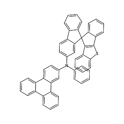 c1ccc(N(c2ccc3c(c2)C2(c4ccccc4-3)c3ccccc3-c3sc4ccccc4c32)c2ccc3c4ccccc4c4ccccc4c3c2)cc1